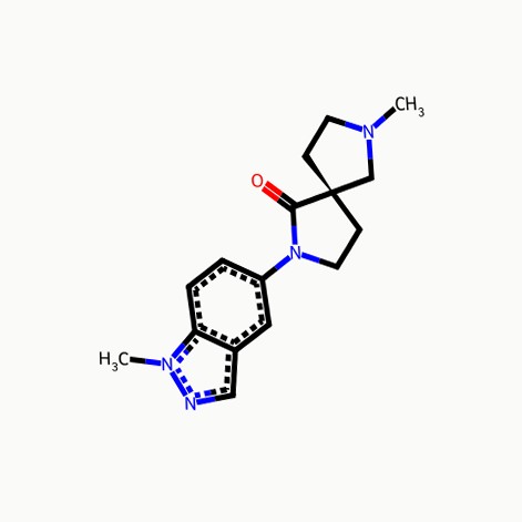 CN1CC[C@]2(CCN(c3ccc4c(cnn4C)c3)C2=O)C1